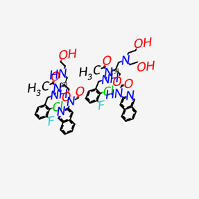 CC(=O)N(NCc1cccc(F)c1Cl)[C@@H](CNCCO)CON(C=O)c1cc2ccccc2cn1.CC(=O)N(NCc1cccc(F)c1Cl)[C@H](COC(=O)Nc1cc2ccccc2cn1)CN(CCO)CCO